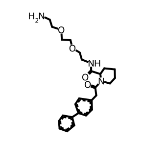 NCCOCCOCCNC(=O)C1CCCCN1C(=O)Cc1ccc(-c2ccccc2)cc1